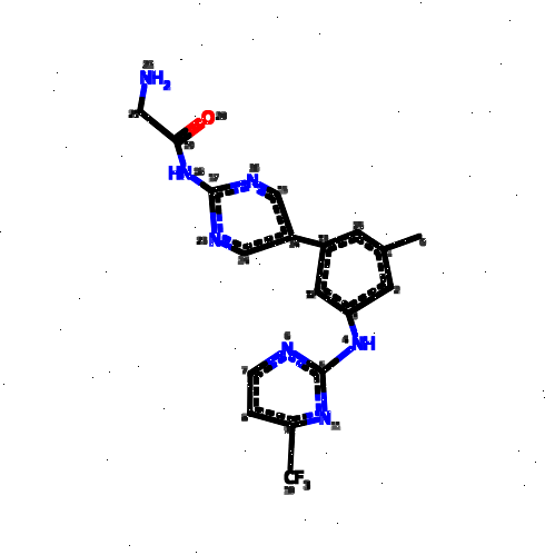 Cc1cc(Nc2nccc(C(F)(F)F)n2)cc(-c2cnc(NC(=O)CN)nc2)c1